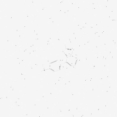 FC(F)(F)c1ccc(-c2cccn3nc(Cl)nc23)cc1